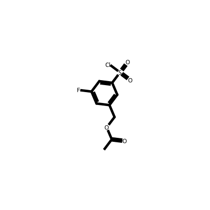 CC(=O)OCc1cc(F)cc(S(=O)(=O)Cl)c1